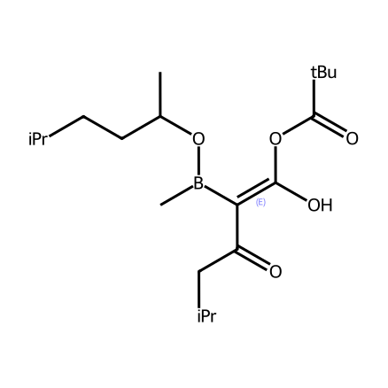 CB(OC(C)CCC(C)C)/C(C(=O)CC(C)C)=C(/O)OC(=O)C(C)(C)C